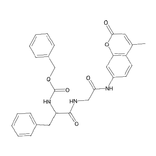 Cc1cc(=O)oc2cc(NC(=O)CNC(=O)C(Cc3ccccc3)NC(=O)OCc3ccccc3)ccc12